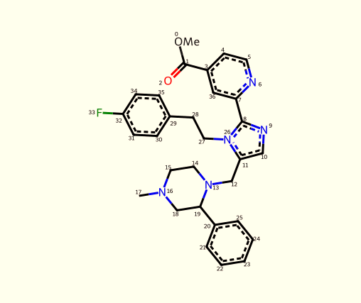 COC(=O)c1ccnc(-c2ncc(CN3CCN(C)CC3c3ccccc3)n2CCc2ccc(F)cc2)c1